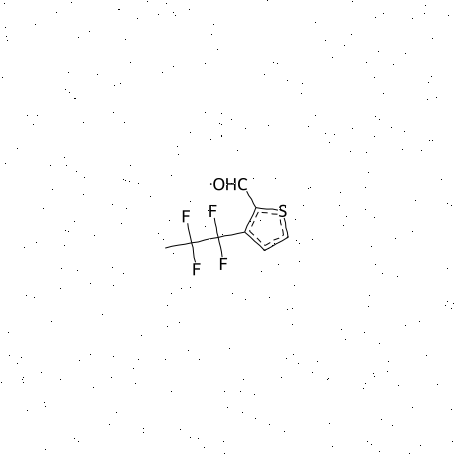 CC(F)(F)C(F)(F)c1ccsc1[C]=O